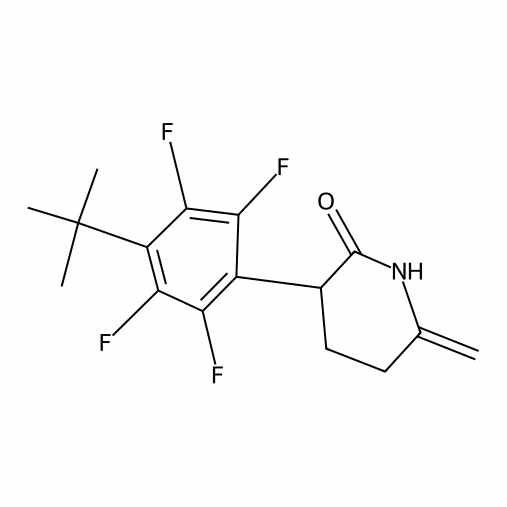 C=C1CCC(c2c(F)c(F)c(C(C)(C)C)c(F)c2F)C(=O)N1